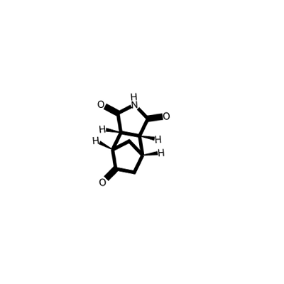 O=C1NC(=O)[C@@H]2[C@H]1[C@@H]1CC(=O)[C@H]2C1